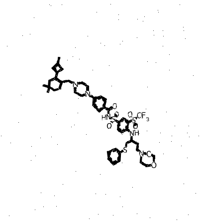 CC1(C)CCC(CN2CCN(c3ccc(C(=O)NS(=O)(=O)c4ccc(NC(CCN5CCOCC5)CSc5ccccc5)c(S(=O)(=O)C(F)(F)F)c4)cc3)CC2)=C(C23CC(C)(C2)C3)C1